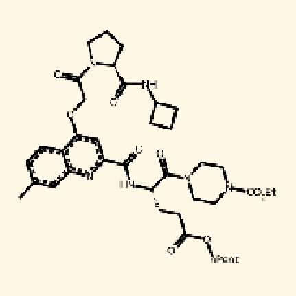 CCCCCOC(=O)CC[C@H](NC(=O)c1cc(OCC(=O)N2CCC[C@H]2C(=O)NC2CCC2)c2ccc(C)cc2n1)C(=O)N1CCN(C(=O)OCC)CC1